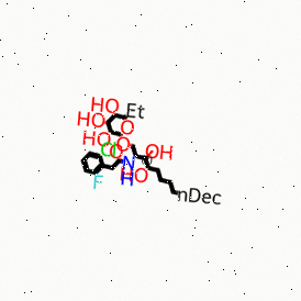 CCCCCCCCCCCCCCC(O)[C@H](O)C(COC1OC(CC)C(O)C(O)C1O)NC(=O)Cc1c(F)cccc1Cl